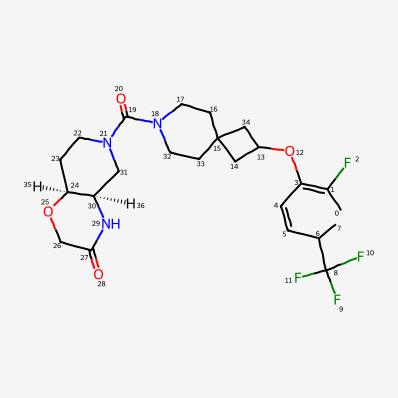 C/C(F)=C(\C=C/C(C)C(F)(F)F)OC1CC2(CCN(C(=O)N3CC[C@@H]4OCC(=O)N[C@@H]4C3)CC2)C1